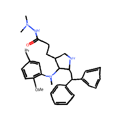 COc1ccc(C(C)C)cc1N(C)C1C(CCC(=O)NN(C)C)CNC1C(c1ccccc1)c1ccccc1